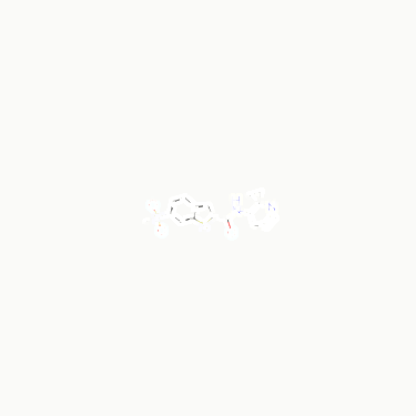 CS(=O)(=O)c1ccc2cc(C(=O)NC3C4CCN(CC4)C34CC4)sc2c1